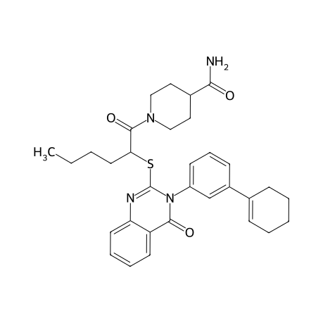 CCCCC(Sc1nc2ccccc2c(=O)n1-c1cccc(C2=CCCCC2)c1)C(=O)N1CCC(C(N)=O)CC1